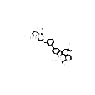 CCn1c(-c2cccnc2C(C)OC)c(CC(C)(C)CO)c2cc(-c3cccc(C[C@H](NC(=O)OC(C)(C)C)C(=O)N4CCC[C@@H](C(=O)O)N4)c3)ccc21